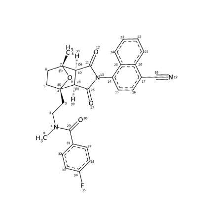 CN(CC[C@@]12CC[C@@](C)(O1)[C@H]1C(=O)N(c3ccc(C#N)c4ccccc34)C(=O)[C@H]12)C(=O)c1ccc(F)cc1